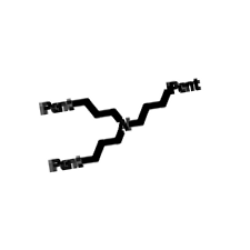 CCCC(C)CC[CH2][Al]([CH2]CCC(C)CCC)[CH2]CCC(C)CCC